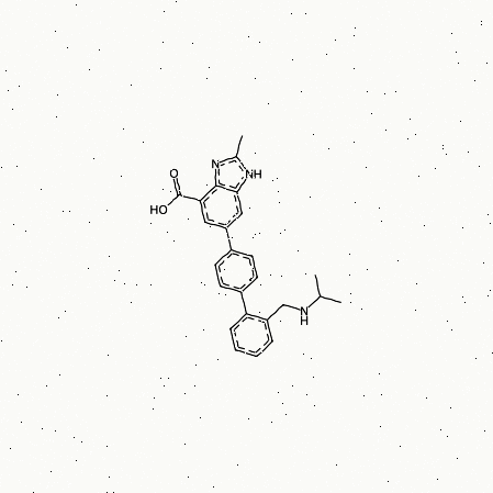 Cc1nc2c(C(=O)O)cc(-c3ccc(-c4ccccc4CNC(C)C)cc3)cc2[nH]1